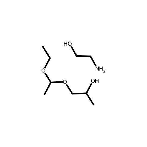 CCOC(C)OCC(C)O.NCCO